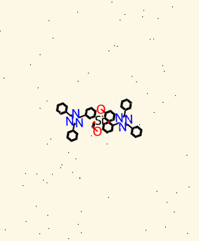 c1ccc(-c2nc(-c3ccccc3)nc(-c3ccc4c(c3)[Si]3(c5ccccc5O4)c4ccccc4Oc4ccc(-c5nc(-c6ccccc6)nc(-c6ccccc6)n5)cc43)n2)cc1